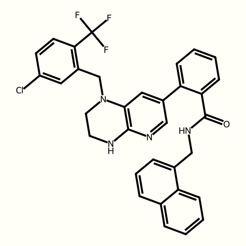 O=C(NCc1cccc2ccccc12)c1ccccc1-c1cnc2c(c1)N(Cc1cc(Cl)ccc1C(F)(F)F)CCN2